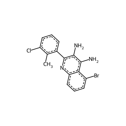 Cc1c(Cl)cccc1-c1nc2cccc(Br)c2c(N)c1N